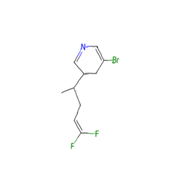 CC(CC=C(F)F)C1C=NC=C(Br)C1